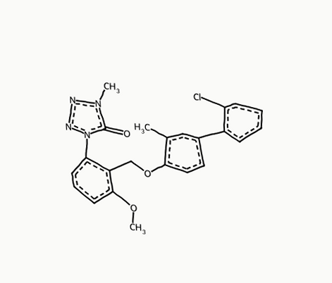 COc1cccc(-n2nnn(C)c2=O)c1COc1ccc(-c2ccccc2Cl)cc1C